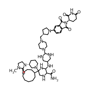 CN1CCN([C@@H]2CCCN(C3(C4CCCCCCCC4)CNC(C(N)=O)C(NC4CNC(N5CCN(C[C@H]6CCN(c7ccc8c(c7)C(=O)N([C@@H]7CCC(=O)NC7=O)C8=O)C6)CC5)NC4)N3)C2)C1=O